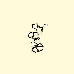 O=C(NC12CC3CC(CC(C3)C1)C2)[C@@H]1CCCN1C(=O)C1CCCN1C(=O)O